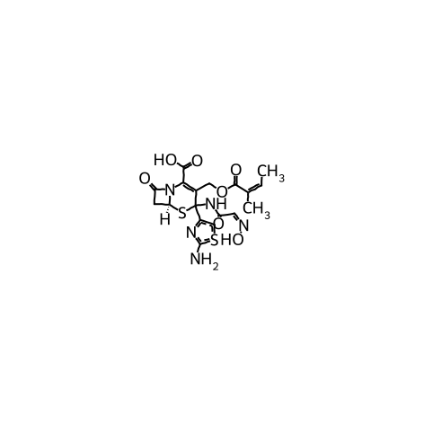 C/C=C(/C)C(=O)OCC1=C(C(=O)O)N2C(=O)C[C@@H]2SC1(NC(=O)/C=N\O)c1csc(N)n1